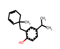 CC(C)c1ccc(O)c(CC2(C)C=CC=CC2)c1